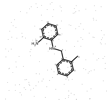 Cc1ccccc1CNc1ccccc1N